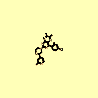 Cc1cc(C2CN(c3nc(-c4ccc(Cl)cc4F)c4nc(C)c(C)nc4n3)CCO2)ccn1